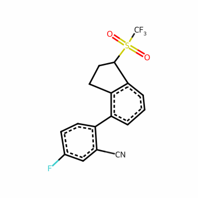 N#Cc1cc(F)ccc1-c1cccc2c1CCC2S(=O)(=O)C(F)(F)F